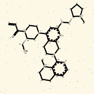 C=CC(=O)N1CCN(c2cc(OC[C@@H]3CCCN3C)nc3c2CCN(c2nccc4c2N(C)CCC4)C3)C[C@@H]1CC#N